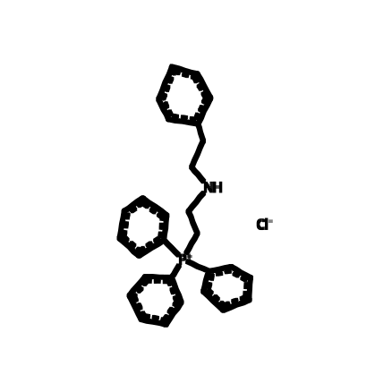 [Cl-].c1ccc(CCNCC[P+](c2ccccc2)(c2ccccc2)c2ccccc2)cc1